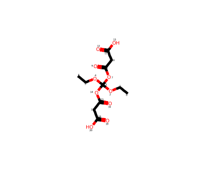 CCOC(OCC)(OC(=O)CC(=O)O)OC(=O)CC(=O)O